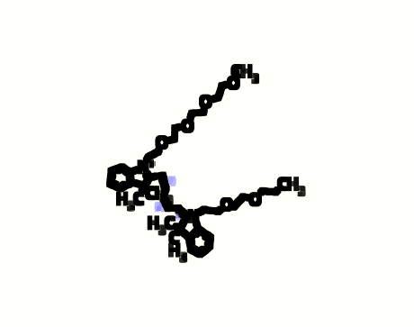 CCCOCCOCCN1/C(=C/C=C\C=C/C2=[N+](CCOCCOCCOCCOC)c3ccccc3C2(C)C)C(C)(C)c2ccccc21